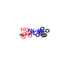 CCc1nc(C(C)(C)O)c(C(=O)OCOC(=O)C(C)(C)C)n1Cc1ccc(-c2ccccc2C2(C(c3ccccc3)(c3ccccc3)c3ccccc3)N=NN=N2)cc1